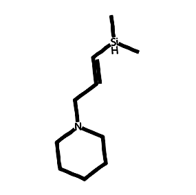 C[SiH](C)C=CCN1CCCCC1